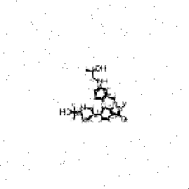 CC(O)CNc1ccc(Cl)c(Cn2c3cc(-c4cnc(C(C)(C)O)nc4)ccc3c(=O)n2C)c1